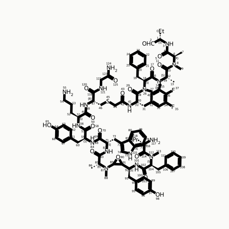 CC[C@@H](C=O)NC(=O)[C@@H](C)N(C)C(=O)[C@H](C)N(C)C(=O)[C@H](Cc1ccccc1)N(C)C(=O)[C@H](Cc1cc(F)c(F)c(F)c1)NC(=O)CSC[C@H](NC(=O)[C@H](CCCN)NC(=O)[C@H](Cc1ccc(O)cc1)NC(=O)[C@H](Cc1c[nH]c2ccccc12)NC(=O)[C@@H](C)N(C)C1OC1[C@H](Cc1ccc(O)cc1)NC(=O)[C@H](Cc1ccccc1)N(C)C(=O)[C@@H](N)C(C)C)C(=O)NCC(N)=O